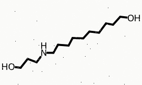 OCCCCCCCCCCNCCCO